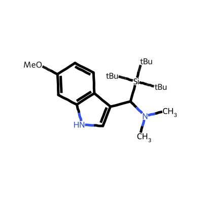 COc1ccc2c(C(N(C)C)[Si](C(C)(C)C)(C(C)(C)C)C(C)(C)C)c[nH]c2c1